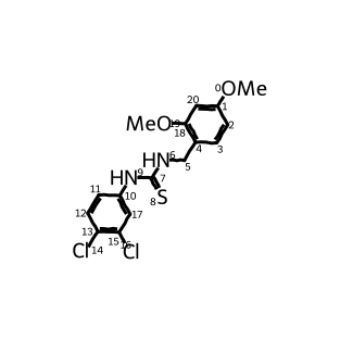 COc1ccc(CNC(=S)Nc2ccc(Cl)c(Cl)c2)c(OC)c1